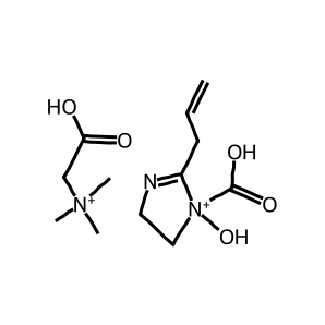 C=CCC1=NCC[N+]1(O)C(=O)O.C[N+](C)(C)CC(=O)O